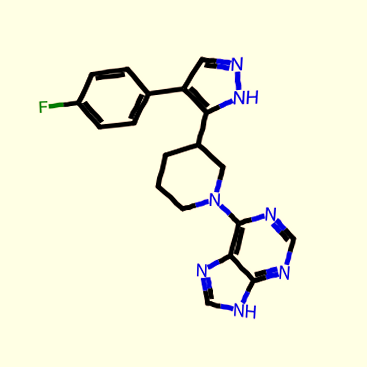 Fc1ccc(-c2cn[nH]c2C2CCCN(c3ncnc4[nH]cnc34)C2)cc1